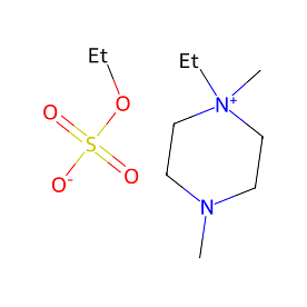 CCOS(=O)(=O)[O-].CC[N+]1(C)CCN(C)CC1